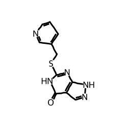 O=c1[nH]c(SCc2cccnc2)nc2[nH]ncc12